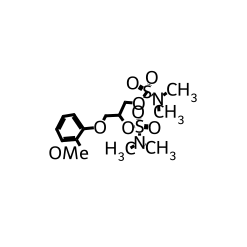 COc1ccccc1OCC(COS(=O)(=O)N(C)C)OS(=O)(=O)N(C)C